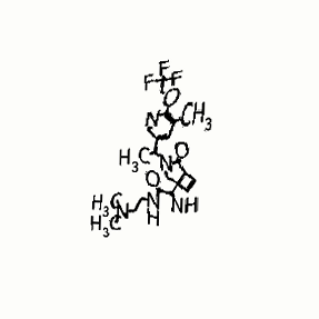 Cc1cc(C(C)N2C[C@@]3(C(=N)C(=O)NCCN(C)C)C=CC3C2=O)cnc1OCC(F)(F)F